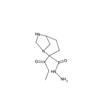 CCC(=O)C1(C(=O)NN)CCC2CN1CN2